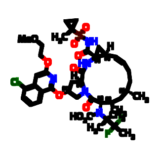 COCCOc1cc2c(Cl)cccc2c(O[C@@H]2C[C@H]3C(=O)N[C@]4(C(=O)NS(=O)(=O)C5(C)CC5)C[C@H]4C=CCC[C@H](C)C[C@@H](C)[C@H](N(C(=O)O)C(C)(C)C(C)(F)F)C(=O)N3C2)n1